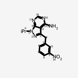 CC(C)n1nc(Cc2cccc([N+](=O)[O-])c2)c2c(N)ncnc21